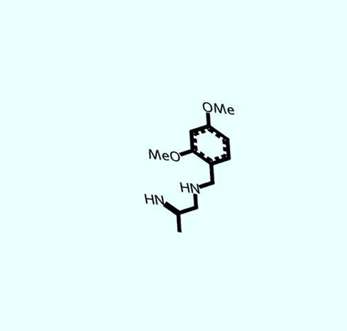 COc1ccc(CNCC(C)=N)c(OC)c1